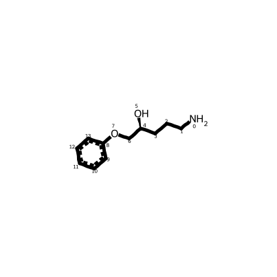 NCCC[C@H](O)COc1ccccc1